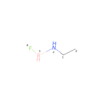 CCNBF